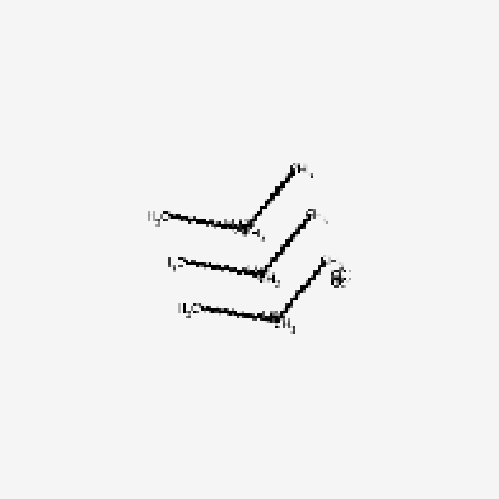 CCCCCCCCC=CCCCCCCCCC[N+](C)(C)CCCCCCCCC=CCCCCCCCC.CCCCCCCCC=CCCCCCCCCC[N+](C)(C)CCCCCCCCC=CCCCCCCCC.CCCCCCCCC=CCCCCCCCCC[N+](C)(C)CCCCCCCCC=CCCCCCCCC.O=P([O-])([O-])[O-]